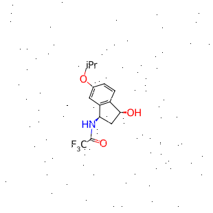 CC(C)Oc1ccc2c(c1)[C@H](NC(=O)C(F)(F)F)C[C@@H]2O